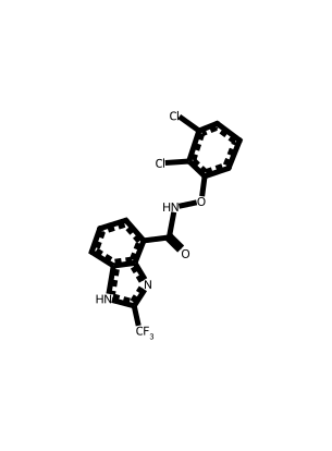 O=C(NOc1cccc(Cl)c1Cl)c1cccc2[nH]c(C(F)(F)F)nc12